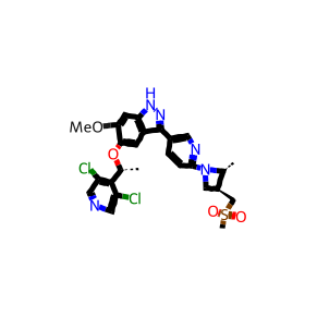 COc1cc2[nH]nc(-c3ccc(N4C[C@H](CS(C)(=O)=O)[C@H]4C)nc3)c2cc1O[C@H](C)c1c(Cl)cncc1Cl